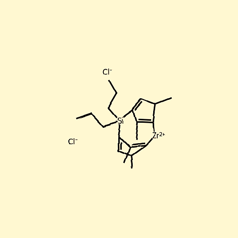 CCC[Si]1(CCC)C2=CC(C)[C](=C2C)[Zr+2][C]2=C(C)C1=CC2C.[Cl-].[Cl-]